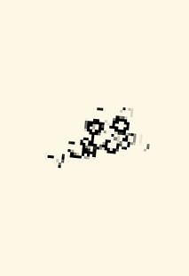 CC(C)=Cc1nc(-c2ccc(=O)n(-c3c(C)cc(Cl)cc3C)c2)c(-c2ccc(F)cc2)o1